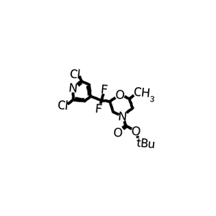 CC1CN(C(=O)OC(C)(C)C)CC(C(F)(F)c2cc(Cl)nc(Cl)c2)O1